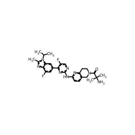 Cc1nc2c(F)cc(-c3nc(Nc4ccc5c(n4)CCN(C(=O)C(C)(C)N)C5)ncc3F)cc2n1C(C)C